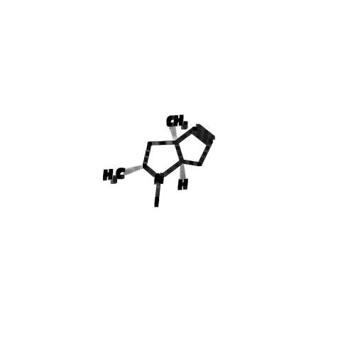 C[C@@H]1C[C@@]2(C)C#CC[C@H]2N1I